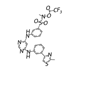 Cc1nc(-c2cccc(Nc3cc(Nc4cccc(S(=O)(=O)N(C)OC(=O)C(F)(F)F)c4)ncn3)c2)cs1